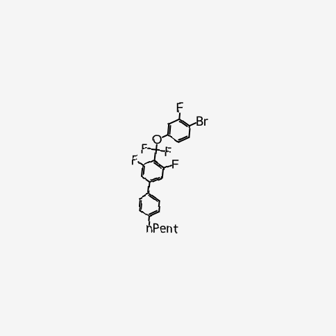 CCCCCc1ccc(-c2cc(F)c(C(F)(F)Oc3ccc(Br)c(F)c3)c(F)c2)cc1